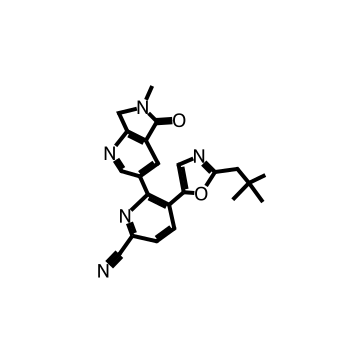 CN1Cc2ncc(-c3nc(C#N)ccc3-c3cnc(CC(C)(C)C)o3)cc2C1=O